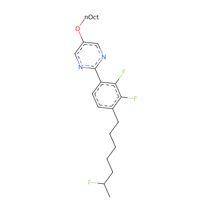 CCCCCCCCOc1cnc(-c2ccc(CCCCCC(C)F)c(F)c2F)nc1